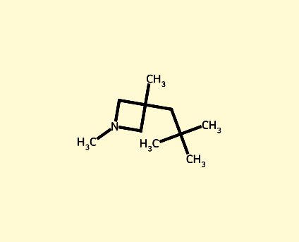 CN1CC(C)(CC(C)(C)C)C1